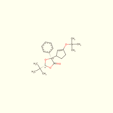 CC(C)(C)[C@H]1OC(=O)[C@](c2ccccc2)(C2C=C(O[Si](C)(C)C)CC2)O1